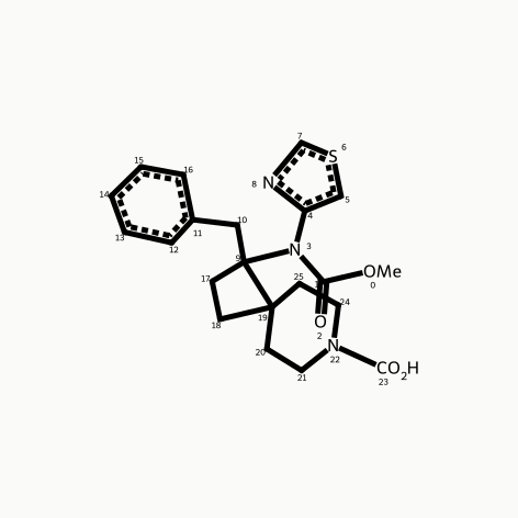 COC(=O)N(c1cscn1)C1(Cc2ccccc2)CCC12CCN(C(=O)O)CC2